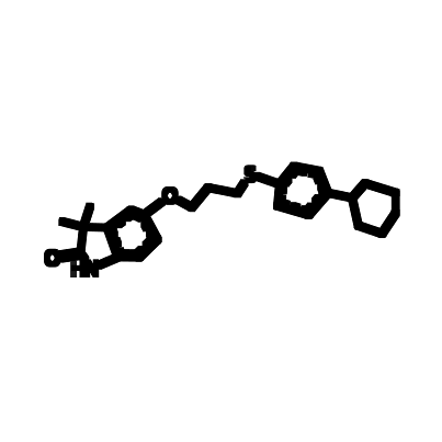 CC1(C)C(=O)Nc2ccc(OCCCSc3ccc(C4CCCCC4)cc3)cc21